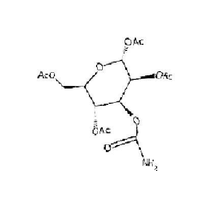 CC(=O)OC[C@H]1O[C@H](OC(C)=O)[C@@H](OC(C)=O)[C@@H](OC(N)=O)[C@@H]1OC(C)=O